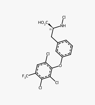 O=C(O)[C@H](Cc1cccc(Oc2c(Cl)cc(C(F)(F)F)c(Cl)c2Cl)c1)NCl